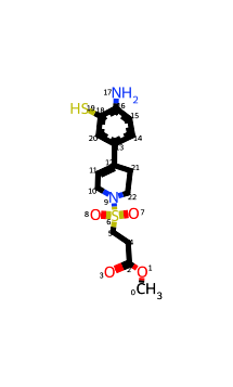 COC(=O)CCS(=O)(=O)N1CC=C(c2ccc(N)c(S)c2)CC1